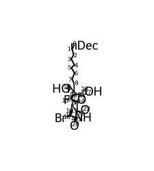 CCCCCCCCCCCCCCCCCCN(O)[C@H]1[C@H](F)[C@@H](n2cc(Br)c(=O)[nH]c2=O)O[C@@H]1CO